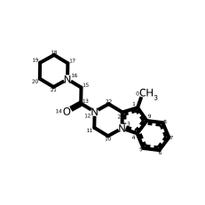 Cc1c2n(c3ccccc13)CCN(C(=O)CN1CCCCC1)C2